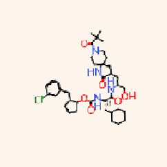 CC(C)(C)C(=O)N1CCC2(CC1)CC(CC(CO)NC(=O)[C@H](CC1CCCCC1)NC(=O)OC1CCCC1Cc1cccc(Cl)c1)C(=O)N2